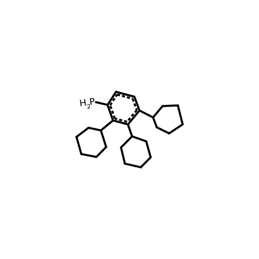 Pc1ccc(C2CCCCC2)c(C2CCCCC2)c1C1CCCCC1